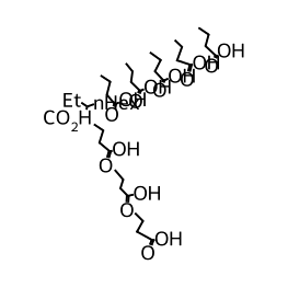 CCCC(=O)O.CCCC(=O)O.CCCC(=O)O.CCCC(=O)O.CCCC(=O)O.CCCC(=O)O.CCCC(=O)O.CCCC(=O)O.CCCCCCC(CC)C(=O)O